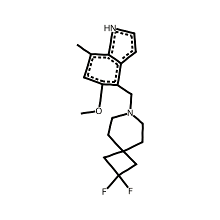 COc1cc(C)c2[nH]ccc2c1CN1CCC2(CC1)CC(F)(F)C2